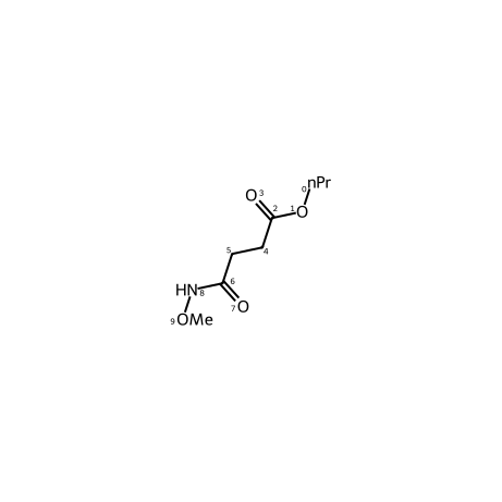 CCCOC(=O)CCC(=O)NOC